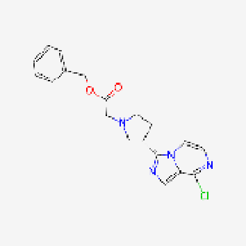 O=C(CN1CC[C@H](c2ncc3c(Cl)nccn23)C1)OCc1ccccc1